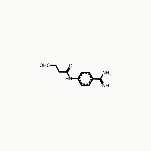 N=C(N)c1ccc(NC(=O)CCC=O)cc1